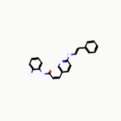 Nc1ccccc1NC(=O)/C=C\c1ccc(N/C=C/c2ccccc2)nc1